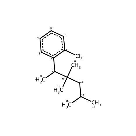 [CH2]C(c1ccccc1Cl)C(C)(C)CC(C)C